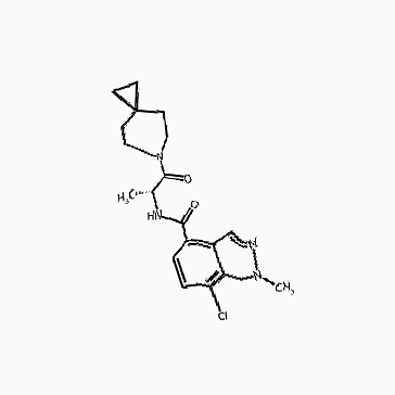 C[C@@H](NC(=O)c1ccc(Cl)c2c1cnn2C)C(=O)N1CCC2(CC1)CC2